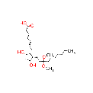 CCCCCCCC(CC[C@@H]1[C@@H](CC=CCCCC(=O)O)[C@@H](O)C[C@H]1O)(OC)OC